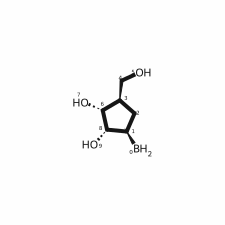 B[C@@H]1C[C@H](CO)[C@@H](O)[C@H]1O